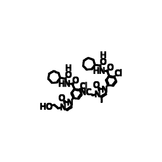 Cc1cn(-c2ccc(Cl)c(C(=O)NC(O)C3CCCCCC3)c2)c(=O)n1CC#N.O=C(NC(O)C1CCCCCC1)c1cc(-n2ccn(CCO)c2=O)ccc1Cl